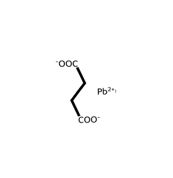 O=C([O-])CCC(=O)[O-].[Pb+2]